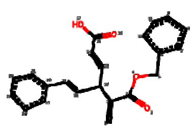 C=C(C(=O)OCc1ccccc1)C(C=CC(=O)O)C=Cc1ccccc1